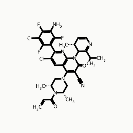 C=CC(=O)N1[C@H](C)CN(c2c(C#N)c(=O)n(C3C(C(C)C)=NC=C[C@H]3C)c3nc(-c4c(F)c(N)c(F)c(Cl)c4F)c(Cl)cc23)C[C@@H]1C